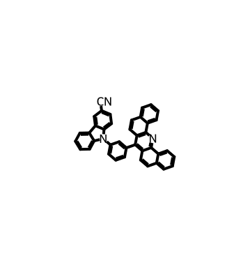 N#Cc1ccc2c(c1)c1ccccc1n2-c1cccc(-c2c3ccc4ccccc4c3nc3c2ccc2ccccc23)c1